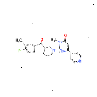 Cc1cc(C(=O)C2CCCN(c3nc(-c4ccncc4)cc(=O)n3C)C2)ccc1F